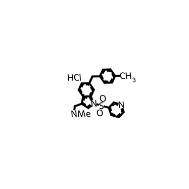 CNCc1cn(S(=O)(=O)c2cccnc2)c2cc(Cc3ccc(C)cc3)ccc12.Cl